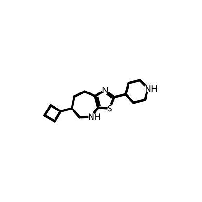 C1CC(C2CCc3nc(C4CCNCC4)sc3NC2)C1